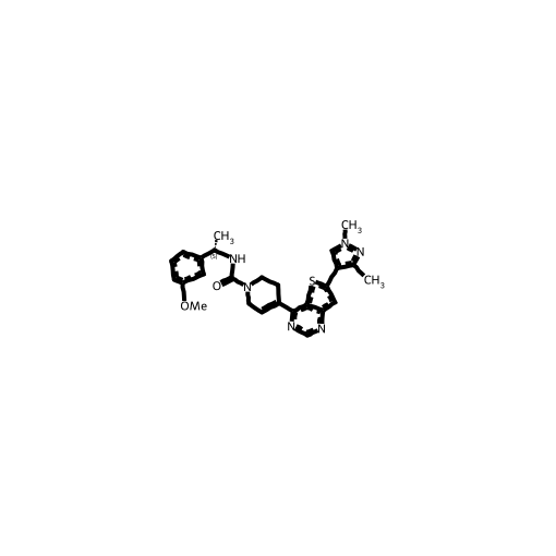 COc1cccc([C@H](C)NC(=O)N2CC=C(c3ncnc4cc(-c5cn(C)nc5C)sc34)CC2)c1